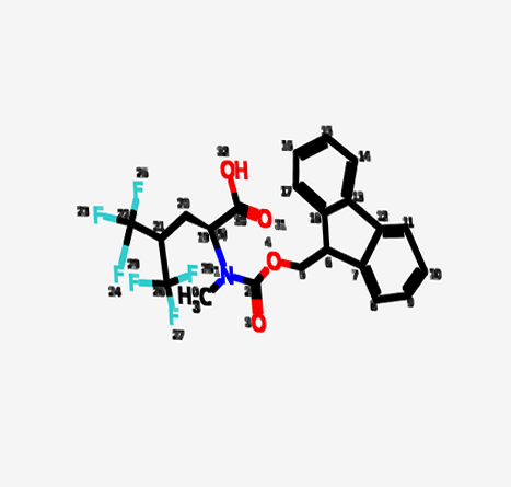 CN(C(=O)OCC1c2ccccc2-c2ccccc21)[C@@H](CC(C(F)(F)F)C(F)(F)F)C(=O)O